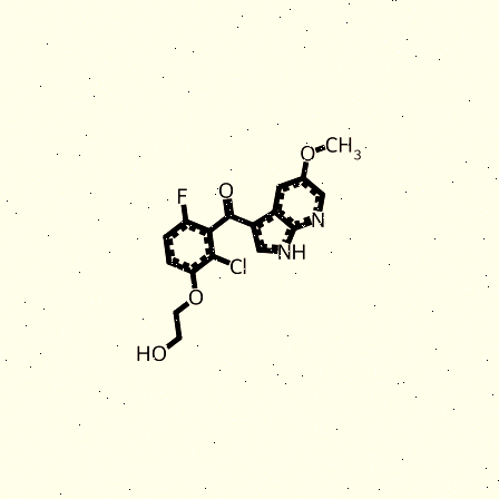 COc1cnc2[nH]cc(C(=O)c3c(F)ccc(OCCO)c3Cl)c2c1